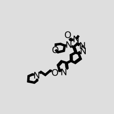 Cn1c(=O)n(C2CCOCC2)c2c3cc(-c4ccc(OCCCN5CCCCC5)nc4)ccc3nnc21